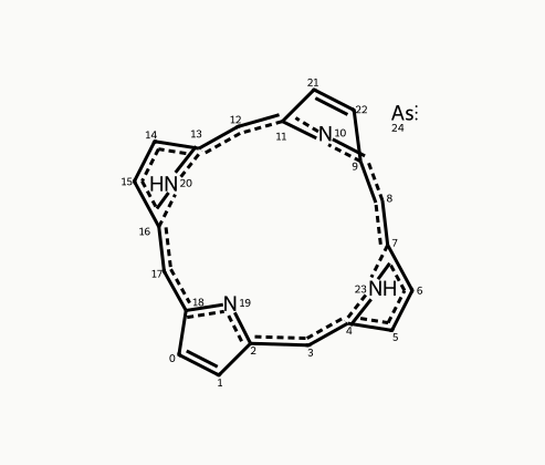 C1=Cc2cc3ccc(cc4nc(cc5ccc(cc1n2)[nH]5)C=C4)[nH]3.[As]